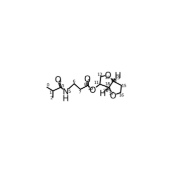 CC(C)C(=O)NCCC(=O)OC1CO[C@@H]2CCO[C@H]12